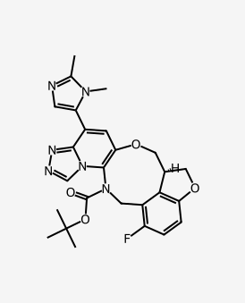 Cc1ncc(-c2cc3c(n4cnnc24)N(C(=O)OC(C)(C)C)Cc2c(F)ccc4c2[C@H](CO4)CO3)n1C